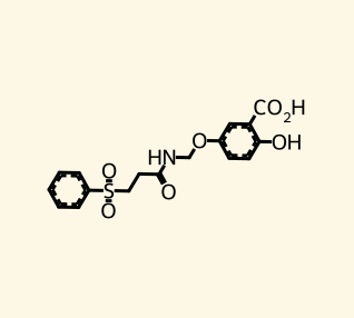 O=C(CCS(=O)(=O)c1ccccc1)NCOc1ccc(O)c(C(=O)O)c1